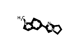 Cn1ccc2cc(-c3cn4c(n3)CCC4)ccc21